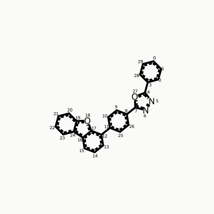 c1ccc(-c2nnc(-c3ccc(-c4cccc5c4oc4ccccc45)cc3)o2)cc1